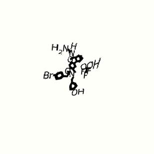 NCCNC(=O)c1ccccc1-c1cccc(CN(CCc2ccc(O)cc2)C(=O)Cc2ccc(Br)cc2)c1.O=C(O)C(F)(F)F